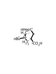 CCCCCCCCCC(=O)O.CCCCN(C)C